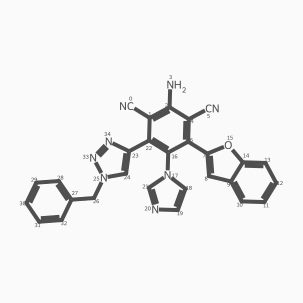 N#Cc1c(N)c(C#N)c(-c2cc3ccccc3o2)c(-n2ccnc2)c1-c1cn(Cc2ccccc2)nn1